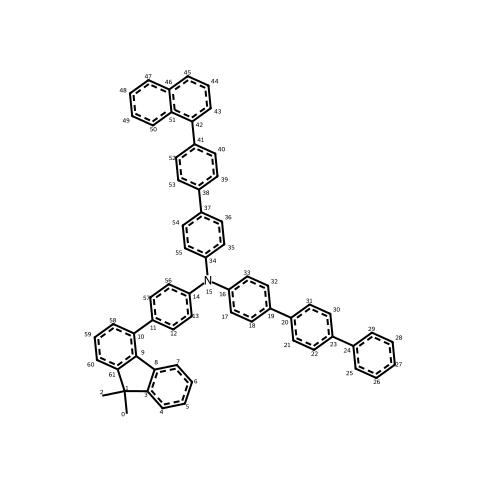 CC1(C)c2ccccc2-c2c(-c3ccc(N(c4ccc(-c5ccc(-c6ccccc6)cc5)cc4)c4ccc(-c5ccc(-c6cccc7ccccc67)cc5)cc4)cc3)cccc21